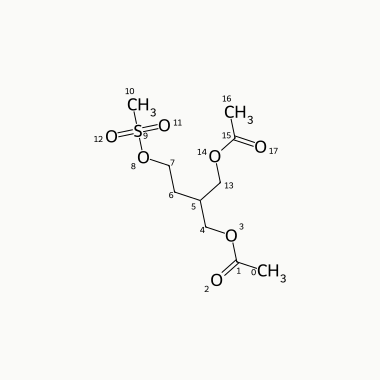 CC(=O)OCC(CCOS(C)(=O)=O)COC(C)=O